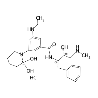 CCNc1cc(C(=O)N[C@@H](Cc2ccccc2)[C@H](O)CNC)cc(N2CCCCS2(O)O)c1.Cl